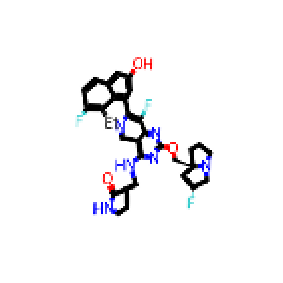 CCc1c(F)ccc2cc(O)cc(-c3ncc4c(NCC5CCNC5=O)nc(OC[C@@]56CCCN5C[C@H](F)C6)nc4c3F)c12